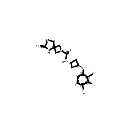 O=C1NC2(CO1)CN(C(=O)O[C@H]1C[C@H](Oc3ccc(F)c(F)c3F)C1)C2